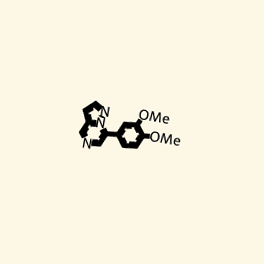 COc1ccc(-c2cncc3ccnn23)cc1OC